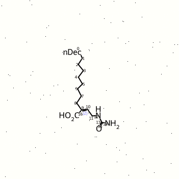 CCCCCCCCCCCCCCCCCC/C(=C/CNC(N)=O)C(=O)O